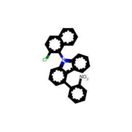 O=[N+]([O-])c1ccccc1-c1cccc2c1c1ccccc1n2-c1c(Cl)ccc2ccccc12